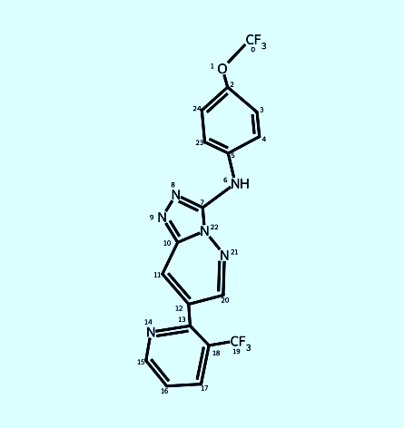 FC(F)(F)Oc1ccc(Nc2nnc3cc(-c4ncccc4C(F)(F)F)cnn23)cc1